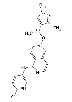 Cc1nn(C)cc1[C@@H](C)Oc1ccc2c(Nc3ccc(Cl)nc3)nccc2c1